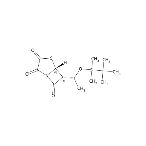 CC(O[Si](C)(C)C(C)(C)C)[C@@H]1C(=O)N2C(=O)C(=O)S[C@H]12